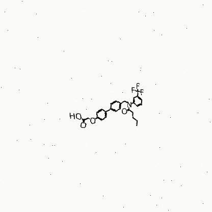 CCCCC(=O)N(Cc1ccc(-c2ccc(OCC(=O)O)cc2)cc1)c1cccc(C(F)(F)F)c1